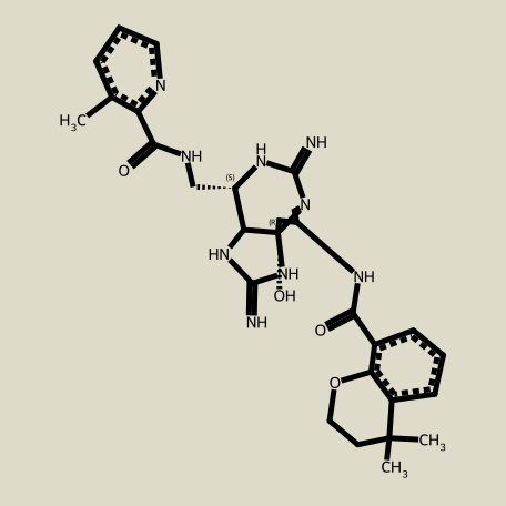 Cc1cccnc1C(=O)NC[C@@H]1NC(=N)N2CC(NC(=O)c3cccc4c3OCCC4(C)C)[C@@H](O)C23NC(=N)NC13